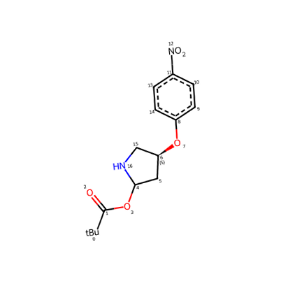 CC(C)(C)C(=O)OC1C[C@H](Oc2ccc([N+](=O)[O-])cc2)CN1